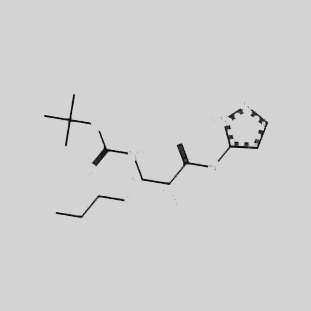 CCCC[C@H](NC(=O)OC(C)(C)C)[C@@H](O)C(=O)Nc1ccn[nH]1